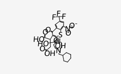 O=C(O)CC(O)(C(=O)O)C(C(=O)O)c1c(N2CCN(CC3CCCCC3)CC2)sc2c([N+](=O)[O-])cc(C(F)(F)F)cc2c1=O